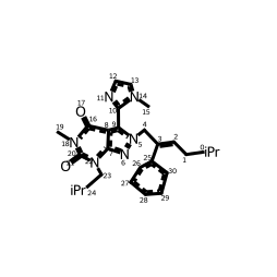 CC(C)CC=C(Cn1nc2c(c1-c1nccn1C)c(=O)n(C)c(=O)n2CC(C)C)c1ccccc1